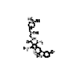 Cc1[nH]c(C=C2C(=O)Nc3ccc(Br)cc32)c(C)c1C(=O)NCC(O)CN1CCS(O)(O)CC1